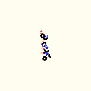 CCCn1c(C)c(C(=O)Nc2ncc(Oc3ccnc4cc(OC)ccc34)cn2)c(=O)n1-c1ccccc1